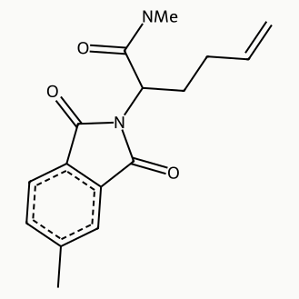 C=CCCC(C(=O)NC)N1C(=O)c2ccc(C)cc2C1=O